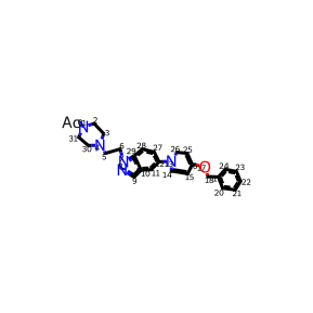 CC(=O)N1CCN(CCn2ncc3cc(N4C=CC(OCc5ccccc5)=CC4)ccc32)CC1